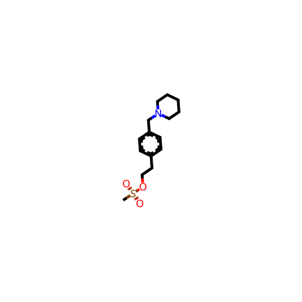 CS(=O)(=O)OCCc1ccc(CN2CCCCC2)cc1